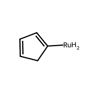 [RuH2][C]1=CC=CC1